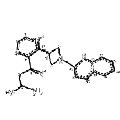 CC(N)CC(=N)c1nccnc1C1CN(c2ccc3ccccc3n2)C1